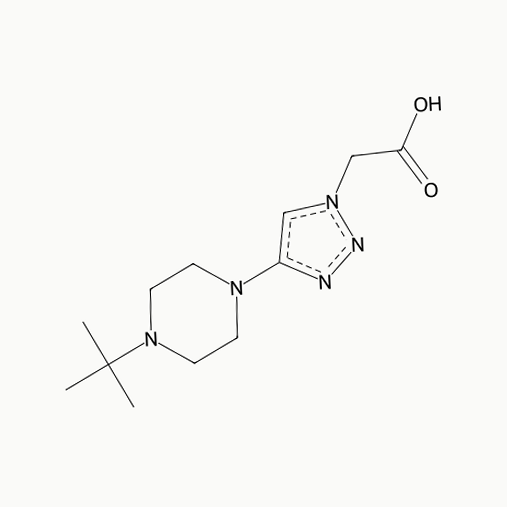 CC(C)(C)N1CCN(c2cn(CC(=O)O)nn2)CC1